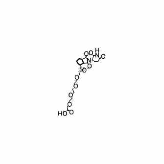 O=C(O)COCCOCCOCCOCC[S+]([O-])c1cccc2c1C(=O)N(C1CCC(=O)NC1=O)C2=O